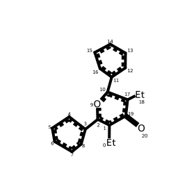 CCc1c(-c2ccccc2)oc(-c2ccccc2)c(CC)c1=O